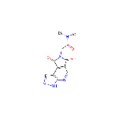 CCN(CC)C(=O)CN1C(=O)c2cnc3[nH]ncc3c2C1=O